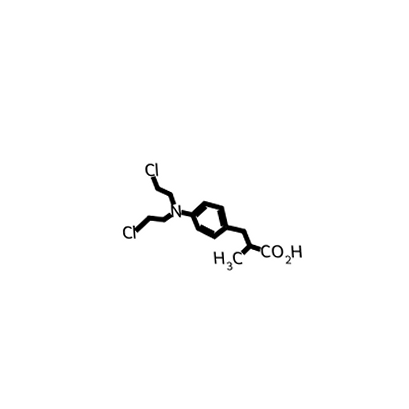 CC(Cc1ccc(N(CCCl)CCCl)cc1)C(=O)O